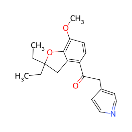 CCC1(CC)Cc2c(C(=O)Cc3ccncc3)ccc(OC)c2O1